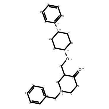 O=C1CCN(Cc2ccccc2)CC1CO[C@H]1CC[C@@H](c2ccccc2)CC1